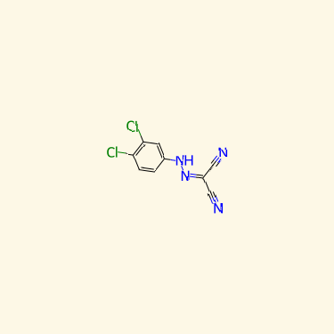 N#CC(C#N)=NNc1ccc(Cl)c(Cl)c1